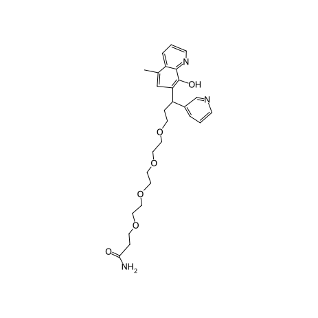 Cc1cc(C(CCOCCOCCOCCOCCC(N)=O)c2cccnc2)c(O)c2ncccc12